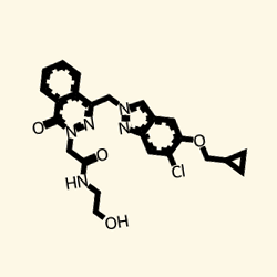 O=C(Cn1nc(Cn2cc3cc(OCC4CC4)c(Cl)cc3n2)c2ccccc2c1=O)NCCO